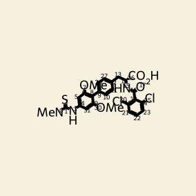 CNC(=S)Nc1cc(OC)c(-c2ccc(C[C@H](NC(=O)c3c(Cl)cccc3Cl)C(=O)O)cc2)c(OC)c1